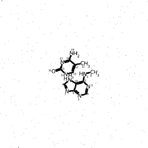 CNc1ncnc2nc[nH]c12.Cc1c[nH]c(=O)nc1N